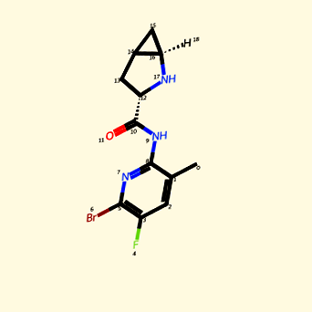 Cc1cc(F)c(Br)nc1NC(=O)[C@@H]1CC2C[C@H]2N1